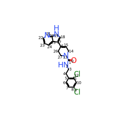 O=C(NCCc1ccc(Cl)cc1Cl)N1CC=C(c2c[nH]c3ncccc23)CC1